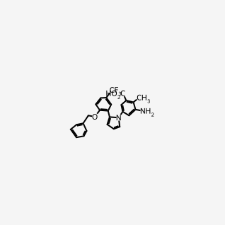 Cc1c(N)cc(-n2cccc2-c2cc(C(F)(F)F)ccc2OCc2ccccc2)cc1C(=O)O